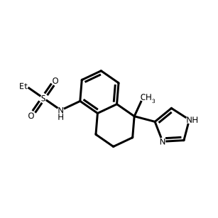 CCS(=O)(=O)Nc1cccc2c1CCCC2(C)c1c[nH]cn1